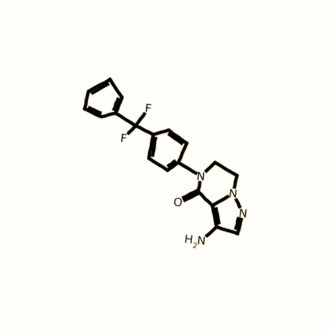 Nc1cnn2c1C(=O)N(c1ccc(C(F)(F)c3ccccc3)cc1)CC2